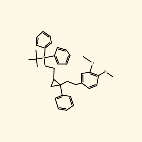 COc1ccc(CCC2(c3ccccc3)CC2CO[Si](c2ccccc2)(c2ccccc2)C(C)(C)C)cc1OC